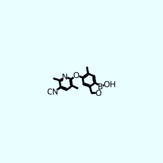 [C-]#[N+]c1cc(C)c(Oc2cc3c(cc2C)B(O)OC3)nc1C